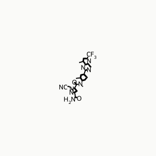 Cc1cc(-c2ncc3nc(C(F)(F)F)cc(C)c3n2)ccc1N(C)C(=O)c1cc(C(N)=O)nn1CC#N